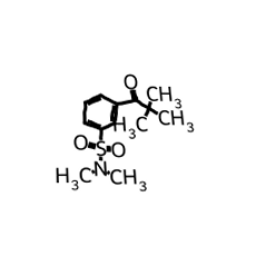 CN(C)S(=O)(=O)c1cccc(C(=O)C(C)(C)C)c1